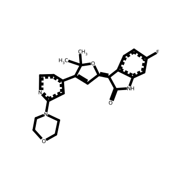 CC1(C)O/C(=C2/C(=O)Nc3cc(F)ccc32)C=C1c1ccnc(N2CCOCC2)c1